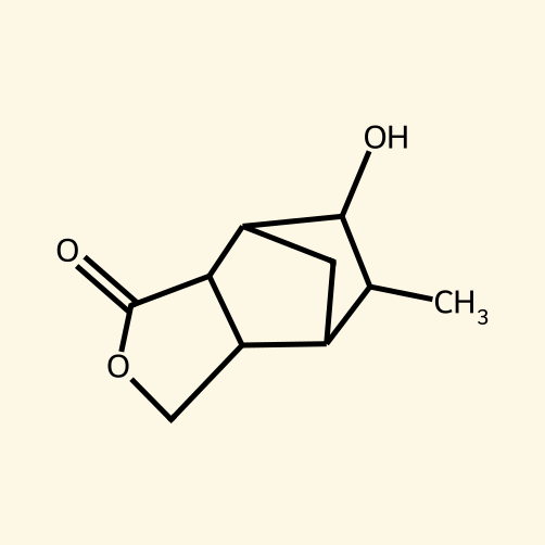 CC1C(O)C2CC1C1COC(=O)C21